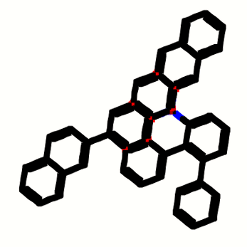 c1ccc(-c2ccccc2-c2c(-c3ccccc3)cccc2N(c2ccc(-c3ccc4ccccc4c3)cc2)c2ccc3ccccc3c2)cc1